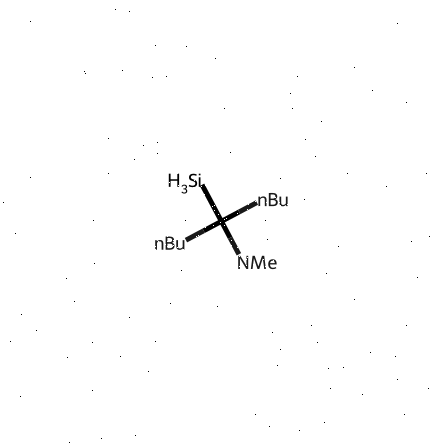 CCCCC([SiH3])(CCCC)NC